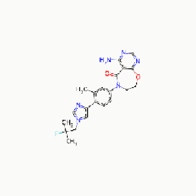 Cc1cc(N2CCOc3ncnc(N)c3C2=O)ccc1-c1cn(CC(C)(C)F)cn1